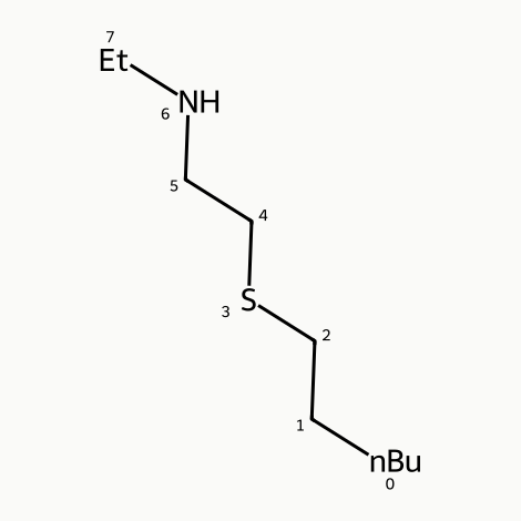 CCCCCCSCCNCC